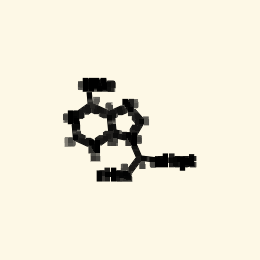 CCCCCCCC(CCCCCC)n1cnc2c(NC)ncnc21